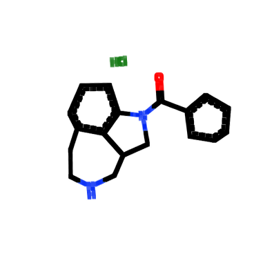 Cl.O=C(c1ccccc1)N1CC2CNCCc3cccc1c32